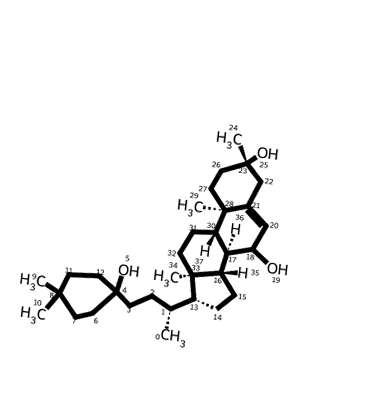 C[C@H](CCC1(O)CCC(C)(C)CC1)[C@H]1CC[C@H]2[C@@H]3C(O)C=C4C[C@@](C)(O)CC[C@]4(C)[C@H]3CC[C@]12C